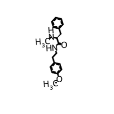 CN[C@@H](Cc1ccccc1)C(=O)NCCc1ccc(OC)cc1